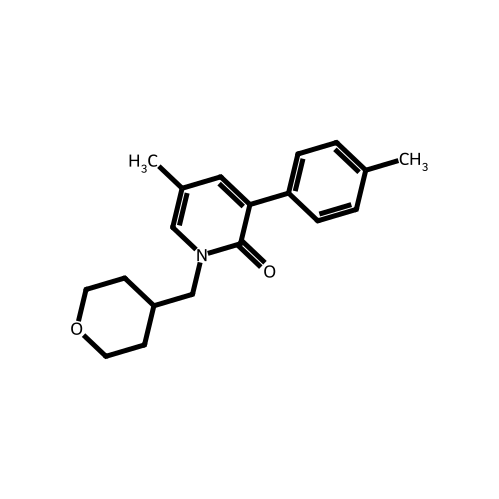 Cc1ccc(-c2cc(C)cn(CC3CCOCC3)c2=O)cc1